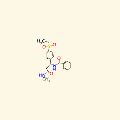 CCS(=O)(=O)c1ccc([C@H](CC(=O)NC)NC(=O)c2ccccc2)cc1